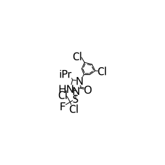 CC(C)C1NN(SC(F)(Cl)Cl)C(=O)N1c1cc(Cl)cc(Cl)c1